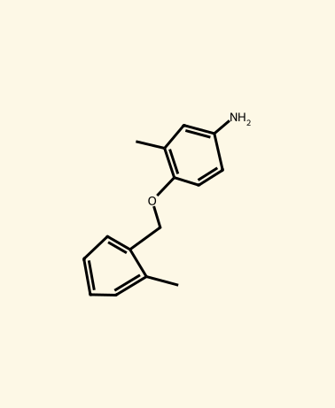 Cc1ccccc1COc1ccc(N)cc1C